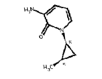 C[C@@H]1C[C@@H]1n1cccc(N)c1=O